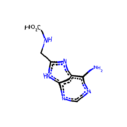 Nc1ncnc2[nH]c(CNC(=O)O)nc12